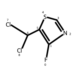 Fc1ncsc1C(Cl)Cl